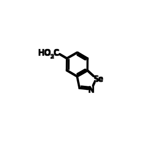 O=C(O)c1ccc2[se]ncc2c1